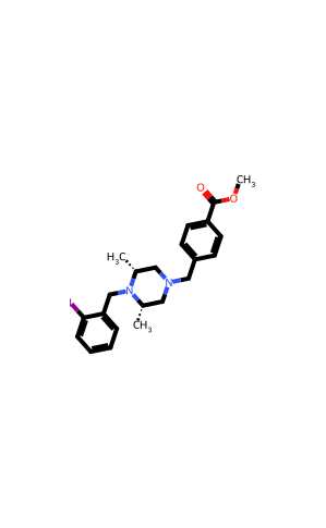 COC(=O)c1ccc(CN2C[C@@H](C)N(Cc3ccccc3I)[C@@H](C)C2)cc1